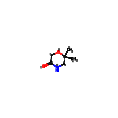 CC1(C)CNC(=O)CO1